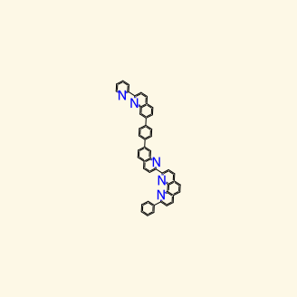 c1ccc(-c2ccc3ccc4ccc(-c5ccc6ccc(-c7ccc(-c8ccc9ccc(-c%10ccccn%10)nc9c8)cc7)cc6n5)nc4c3n2)cc1